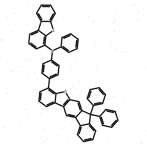 c1ccc(N(c2ccc(-c3cccc4c3oc3cc5c(cc34)-c3ccccc3C5(c3ccccc3)c3ccccc3)cc2)c2cccc3c2sc2ccccc23)cc1